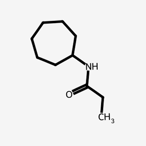 CCC(=O)NC1CCCCCC1